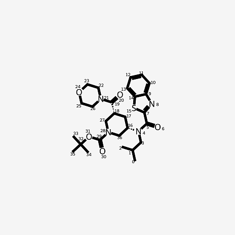 CC(C)CN(C(=O)c1nc2ccccc2s1)[C@H]1C[C@@H](C(=O)N2CCOCC2)CN(C(=O)OC(C)(C)C)C1